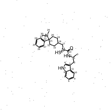 CC(Cc1c[nH]c2ccccc12)NC(=O)N(S)CC1CCC(c2ccccc2)(N(C)C)CC1